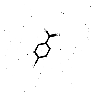 CC(C)C1CCC(C(=O)Cl)CC1